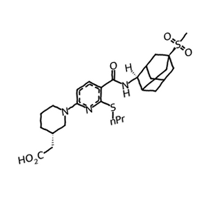 CCCSc1nc(N2CCC[C@@H](CC(=O)O)C2)ccc1C(=O)N[C@H]1C2CC3CC1C[C@@](S(C)(=O)=O)(C3)C2